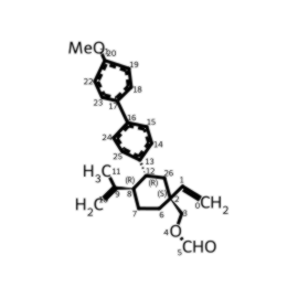 C=C[C@]1(COC=O)CC[C@@H](C(=C)C)[C@H](c2ccc(-c3ccc(OC)cc3)cc2)C1